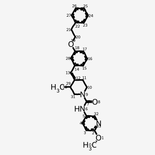 COc1ccc(NC(=O)N2CCC(=Cc3cccc(OCCc4ccccc4)c3)C(C)C2)cn1